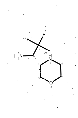 C1COCCN1.NCC(F)(F)F